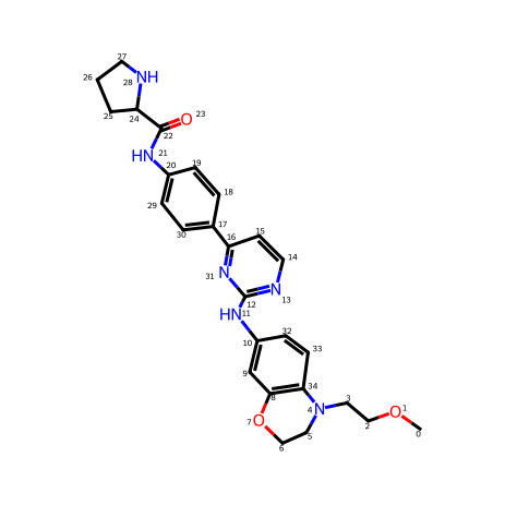 COCCN1CCOc2cc(Nc3nccc(-c4ccc(NC(=O)C5CCCN5)cc4)n3)ccc21